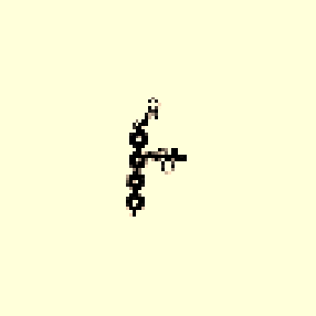 C=C(CC)C(=O)OCCc1cc(-c2ccc(C3CCC(C)CC3)cc2)ccc1-c1ccc(OCCN=O)cc1